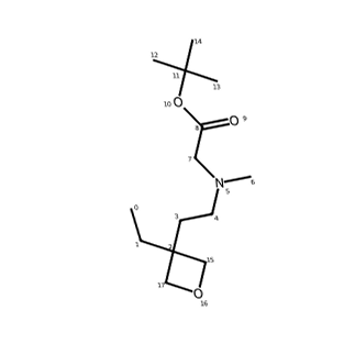 CCC1(CCN(C)CC(=O)OC(C)(C)C)COC1